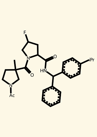 CC(=O)N1CCC(C)(C(=O)N2CC(F)CC2C(=O)NC(c2ccccc2)c2ccc(C(C)C)cc2)C1